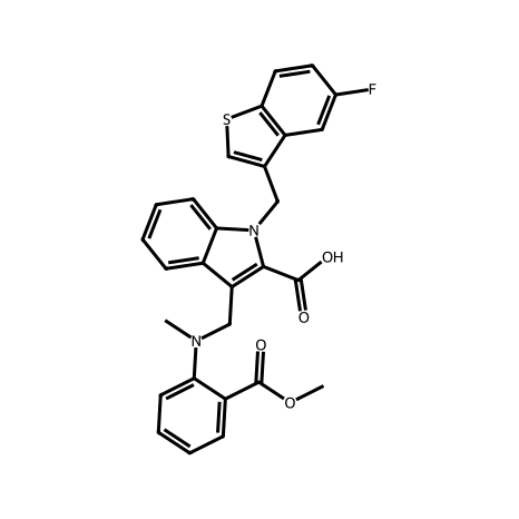 COC(=O)c1ccccc1N(C)Cc1c(C(=O)O)n(Cc2csc3ccc(F)cc23)c2ccccc12